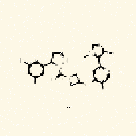 Cc1ncn(C)c1-c1cc(OC2CN(C(=O)N3N=CCC3c3cc(F)cc(F)c3)C2)c(F)cn1